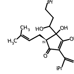 CC(C)=CC[C@@H]1C(=O)C(C(=O)C(C)C)=C(O)C1(O)C(O)CCC(C)C